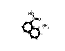 N.O=S(O)c1cccc2ccccc12